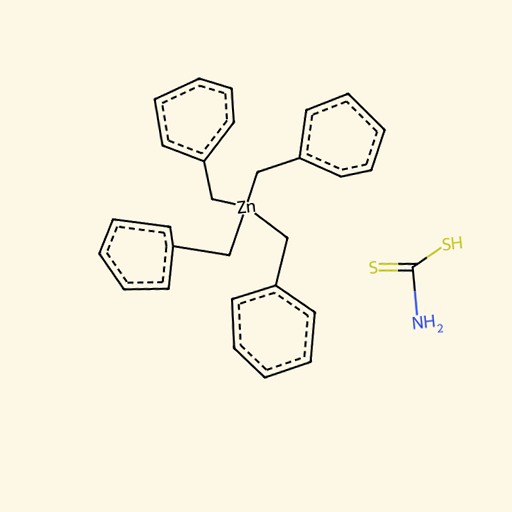 NC(=S)S.c1ccc([CH2][Zn]([CH2]c2ccccc2)([CH2]c2ccccc2)[CH2]c2ccccc2)cc1